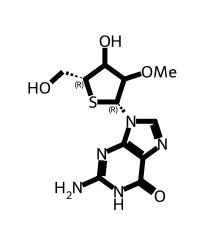 COC1C(O)[C@@H](CO)S[C@H]1n1cnc2c(=O)[nH]c(N)nc21